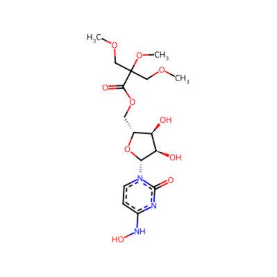 COCC(COC)(OC)C(=O)OC[C@H]1O[C@@H](n2ccc(NO)nc2=O)[C@H](O)[C@@H]1O